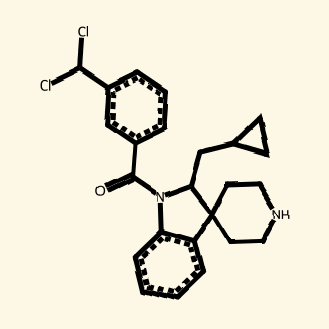 O=C(c1cccc(C(Cl)Cl)c1)N1c2ccccc2C2(CCNCC2)C1CC1CC1